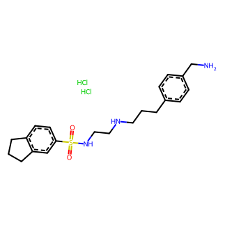 Cl.Cl.NCc1ccc(CCCNCCNS(=O)(=O)c2ccc3c(c2)CCC3)cc1